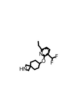 CCc1ccc(C(F)F)c(OC2CCC3(CC2)CNC3)n1